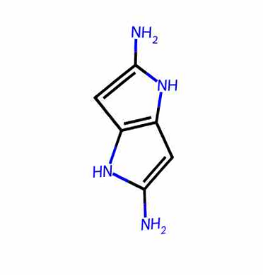 Nc1cc2[nH]c(N)cc2[nH]1